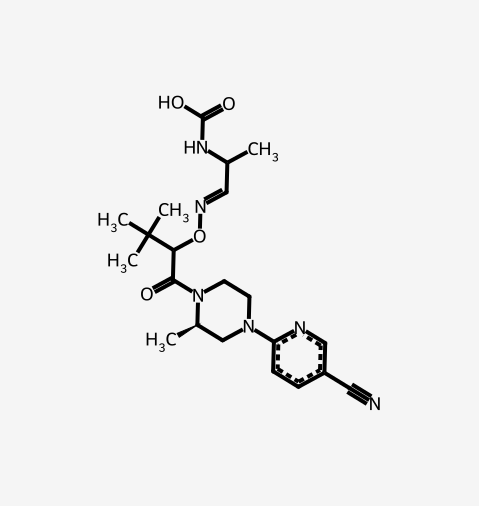 CC(/C=N/OC(C(=O)N1CCN(c2ccc(C#N)cn2)C[C@H]1C)C(C)(C)C)NC(=O)O